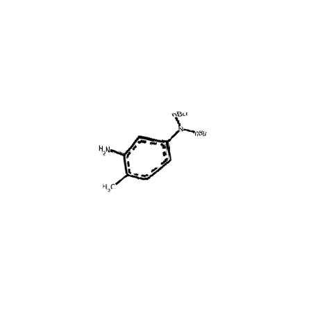 CCCCN(CCCC)c1ccc(C)c(N)c1